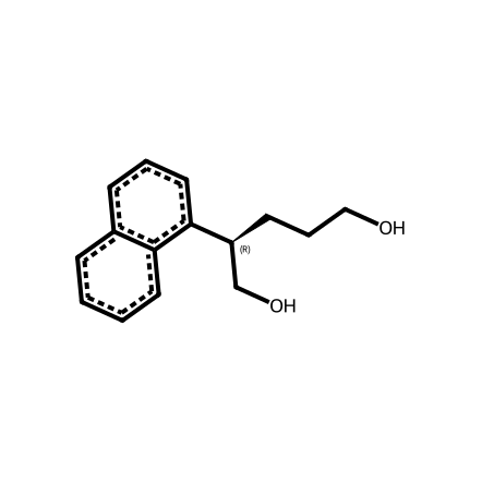 OCCC[C@@H](CO)c1cccc2ccccc12